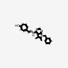 Cc1c(C)n(Cc2ccccc2)c2ncnc(N/N=C/C3=CC=C(O)CC=C3)c12